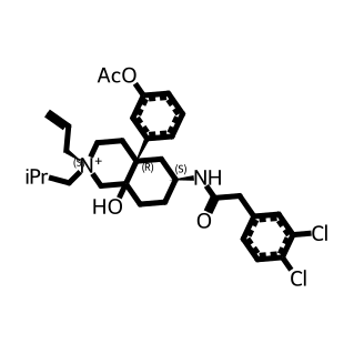 C=CC[N@@+]1(CC(C)C)CC[C@]2(c3cccc(OC(C)=O)c3)C[C@@H](NC(=O)Cc3ccc(Cl)c(Cl)c3)CCC2(O)C1